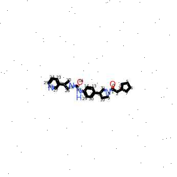 O=C(CC1CCCC1)N1CCC(c2ccc(NC(=O)N3CC(c4cccnc4)C3)cc2)C1